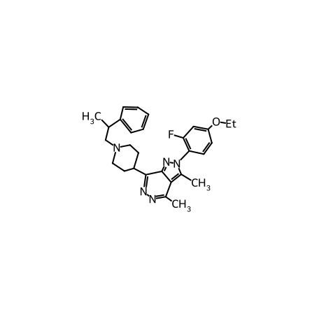 CCOc1ccc(-n2nc3c(C4CCN(CC(C)c5ccccc5)CC4)nnc(C)c3c2C)c(F)c1